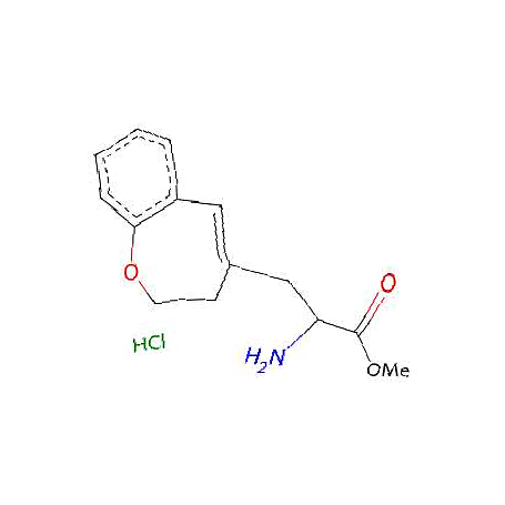 COC(=O)C(N)CC1=Cc2ccccc2OCC1.Cl